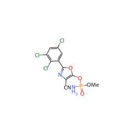 COP(N)(=O)Oc1oc(-c2cc(Cl)cc(Cl)c2Cl)nc1C#N